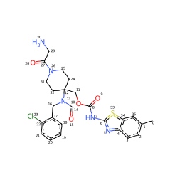 Cc1ccc2nc(NC(=O)OCC3(N(C=O)Cc4ccccc4Cl)CCN(C(=O)CN)CC3)sc2c1